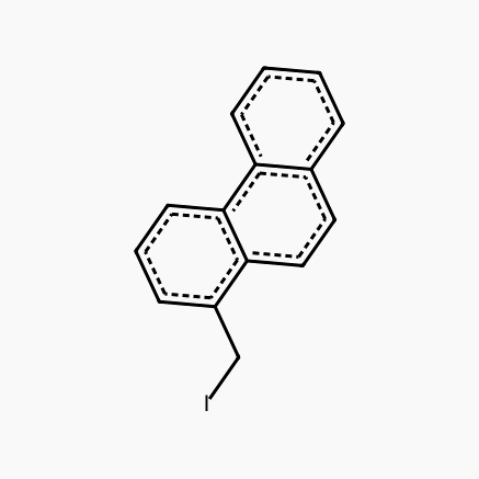 ICc1cccc2c1ccc1ccccc12